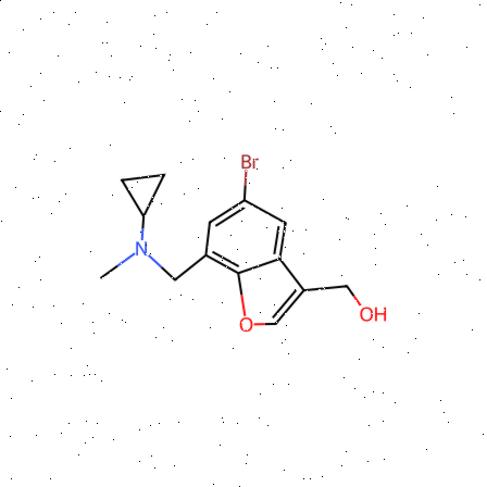 CN(Cc1cc(Br)cc2c(CO)coc12)C1CC1